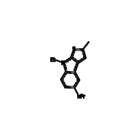 CCCc1ccc2c(c1)c1cc(C)sc1n2CC